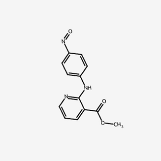 COC(=O)c1cccnc1Nc1ccc(N=O)cc1